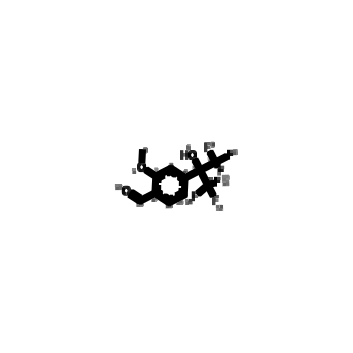 COc1cc(C(O)(C(F)(F)F)C(F)(F)F)ccc1C=O